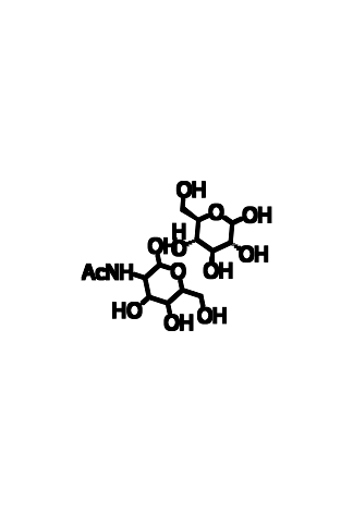 CC(=O)NC1C(O)OC(CO)C(O)C1O.OC[C@H]1OC(O)[C@H](O)[C@@H](O)[C@@H]1O